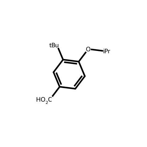 CC(C)Oc1ccc(C(=O)O)cc1C(C)(C)C